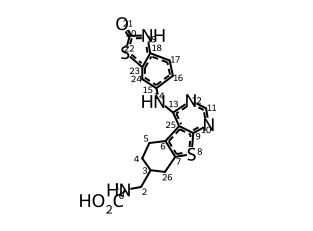 O=C(O)NCC1CCc2c(sc3ncnc(Nc4ccc5[nH]c(=O)sc5c4)c23)C1